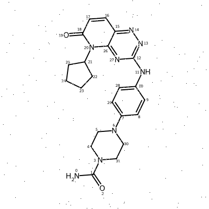 NC(=O)N1CCN(c2ccc(Nc3nnc4ccc(=O)n(C5CCCC5)c4n3)cc2)CC1